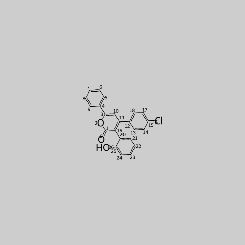 O=c1oc(-c2ccccc2)cc(-c2ccc(Cl)cc2)c1-c1ccccc1O